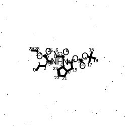 CCC[C@H](N[C@@H](C)C(=O)N1C(OC(=O)OC(C)(C)C)CC2CC=CC21)C(=O)OCC